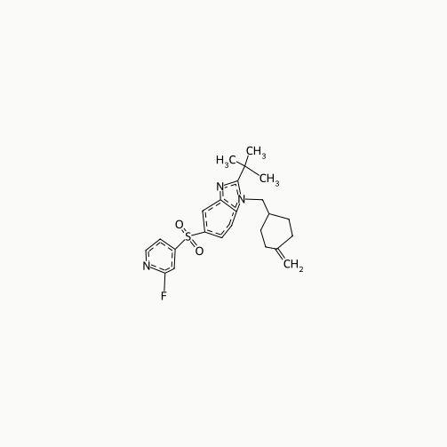 C=C1CCC(Cn2c(C(C)(C)C)nc3cc(S(=O)(=O)c4ccnc(F)c4)ccc32)CC1